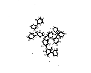 c1ccc(-c2cccc(-n3c4ccccc4c4cc(-n5c6ccc(-c7cccc8c7oc7ccccc78)cc6c6cc([Si](c7ccccc7)(c7ccccc7)c7ccccc7)ccc65)ccc43)c2)cc1